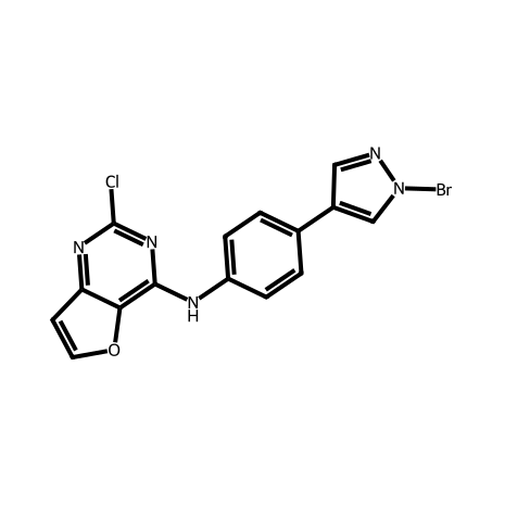 Clc1nc(Nc2ccc(-c3cnn(Br)c3)cc2)c2occc2n1